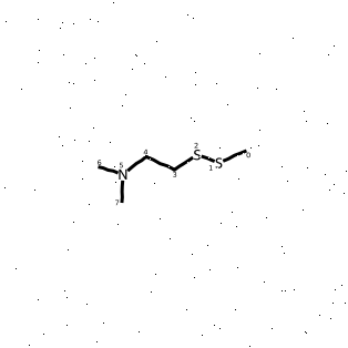 CSSCCN(C)C